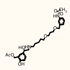 CC(=O)OCc1cc([C@@H](O)CNCCCCCOCCCOCc2cccc(NS(C)(=O)=O)c2)ccc1O